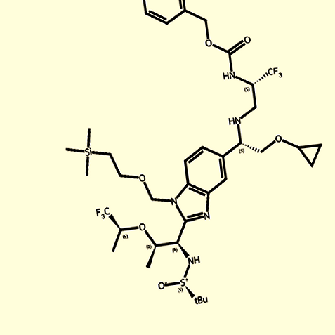 C[C@H](O[C@H](C)[C@H](N[S@+]([O-])C(C)(C)C)c1nc2cc([C@@H](COC3CC3)NC[C@H](NC(=O)OCc3ccccc3)C(F)(F)F)ccc2n1COCC[Si](C)(C)C)C(F)(F)F